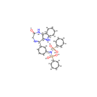 O=C1CN=C(c2cccc(N(S(=O)(=O)c3ccccc3)S(=O)(=O)c3ccccc3)c2)c2[nH]c3ccccc3c2N1